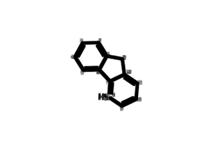 [CH]1c2ccccc2-c2[siH]cccc21